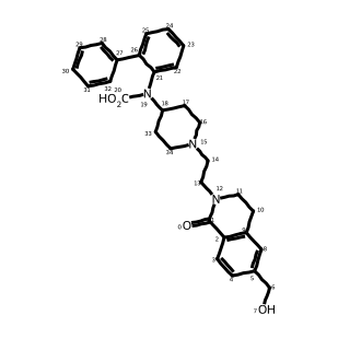 O=C1c2ccc(CO)cc2CCN1CCN1CCC(N(C(=O)O)c2ccccc2-c2ccccc2)CC1